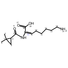 CC1(C)CC1C(=O)N/C(=C/CCCCCN)C(=O)O